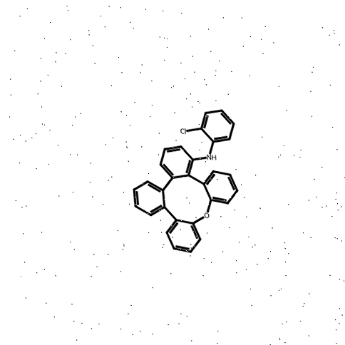 Clc1ccccc1Nc1cccc2c3ccccc3c3ccccc3oc3ccccc3c12